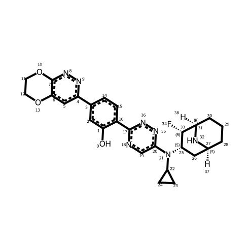 Oc1cc(-c2cc3c(nn2)OCCO3)ccc1-c1ncc(N(C2CC2)[C@H]2C[C@@H]3CCC[C@@H](N3)[C@H]2F)nn1